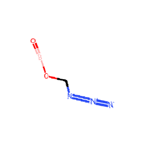 [N-]=[N+]=NCOB=O